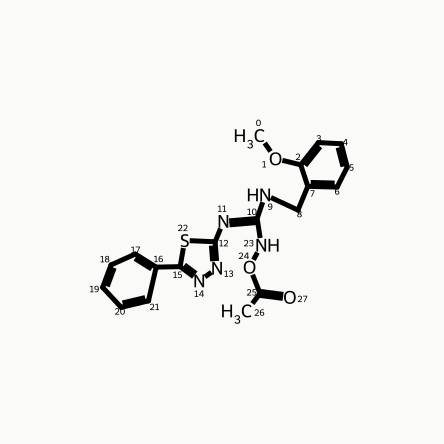 COc1ccccc1CNC(=Nc1nnc(-c2ccccc2)s1)NOC(C)=O